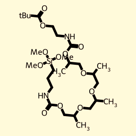 CO[Si](CCCNC(=O)OCC(C)OCC(C)OCC(C)OCC(C)OC(=O)NCCOC(=O)C(C)(C)C)(OC)OC